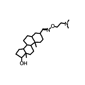 CN(C)CCON=CC1CCC2(C)C(CCC3C4CCC(O)C4(C)CCC32)C1